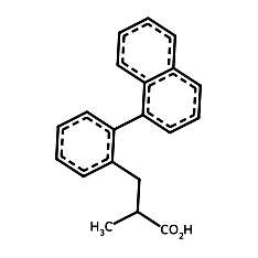 CC(Cc1ccccc1-c1cccc2ccccc12)C(=O)O